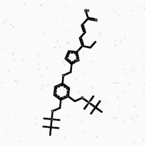 CCC(=CC=CC(=O)O)c1ccc(COc2ccc(CO[Si](C)(C)C(C)(C)C)c(CO[Si](C)(C)C(C)(C)C)c2)s1